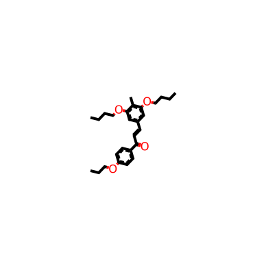 CCCCOc1cc(C=CC(=O)c2ccc(OCCC)cc2)cc(OCCCC)c1C